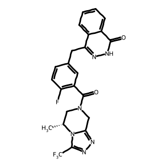 C[C@@H]1CN(C(=O)c2cc(Cc3n[nH]c(=O)c4ccccc34)ccc2F)Cc2nnc(C(F)(F)F)n21